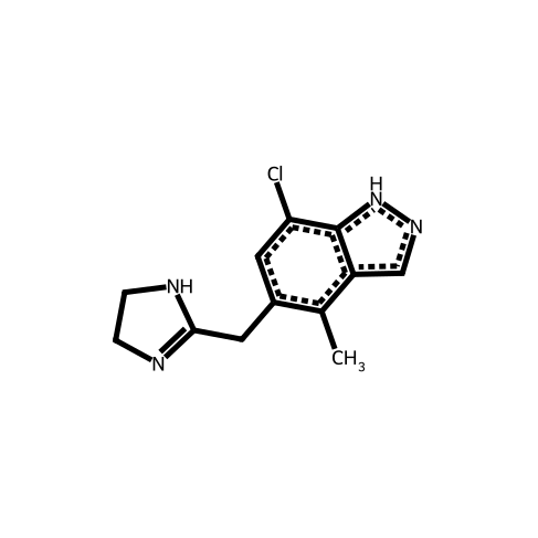 Cc1c(CC2=NCCN2)cc(Cl)c2[nH]ncc12